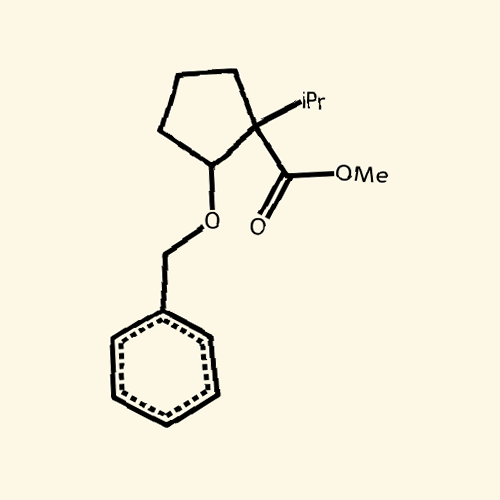 COC(=O)C1(C(C)C)CCCC1OCc1ccccc1